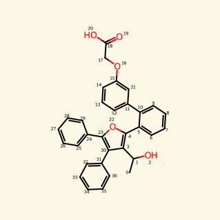 CC(O)c1c(-c2ccccc2-c2cccc(OCC(=O)O)c2)oc(-c2ccccc2)c1-c1ccccc1